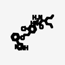 CCCC(CCC)C(N)C(=O)Nc1ccc(CCOc2ccccc2-c2c[nH]cn2)c(Cl)c1